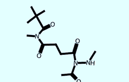 CNN(C(C)=O)C(=O)CCC(=O)N(C)C(=O)C(C)(C)C